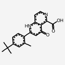 Cc1cc(C(C)(C)C)ccc1-c1cc(=O)c2c(C(=O)O)nccc2[nH]1